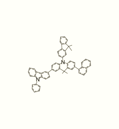 CC1(C)c2ccccc2-c2ccc(N3c4ccc(-c5ccc6c(c5)c5ccccc5n6-c5ccccc5)cc4C(C)(C)c4cc(-c5cccc6ccccc56)ccc43)cc21